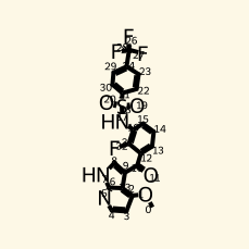 COc1ccnc2[nH]cc(C(=O)c3cccc(NS(=O)(=O)c4ccc(C(F)(F)F)cc4)c3F)c12